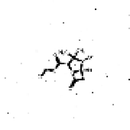 CC1(C)[C@H](C(=O)OCCl)N2C(=O)C[C@H]2[S+]1[O-]